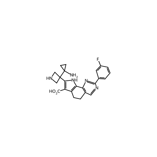 NC1(C2(c3[nH]c4c(c3C(=O)O)CCc3cnc(-c5cccc(F)c5)nc3-4)CNC2)CC1